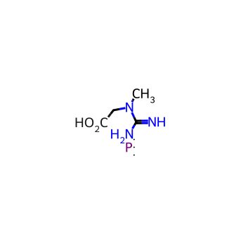 CN(CC(=O)O)C(=N)N.[P]